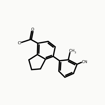 Cc1c(C#N)cccc1-c1ccc(C(=O)Cl)c2c1CCC2